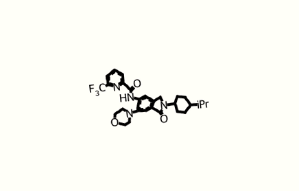 CC(C)C1CCC(N2Cc3cc(NC(=O)c4cccc(C(F)(F)F)n4)c(N4CCOCC4)cc3C2=O)CC1